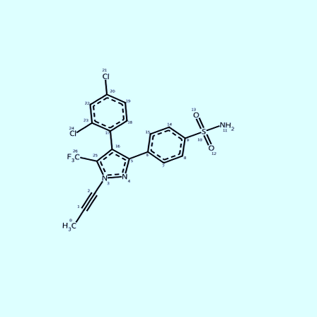 CC#Cn1nc(-c2ccc(S(N)(=O)=O)cc2)c(-c2ccc(Cl)cc2Cl)c1C(F)(F)F